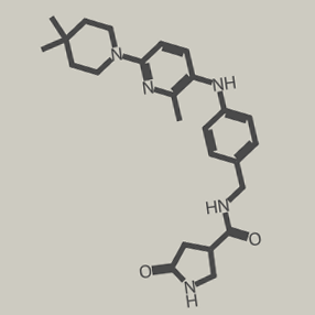 Cc1nc(N2CCC(C)(C)CC2)ccc1Nc1ccc(CNC(=O)C2CNC(=O)C2)cc1